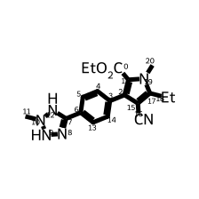 CCOC(=O)c1c(-c2ccc(C3=NNN(C)N3)cc2)c(C#N)c(CC)n1C